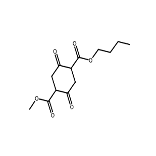 CCCCOC(=O)C1CC(=O)C(C(=O)OC)CC1=O